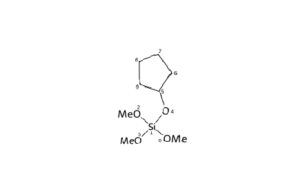 CO[Si](OC)(OC)OC1CCCC1